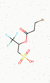 O=C(CCBr)OC(CS(=O)(=O)O)C(F)(F)F